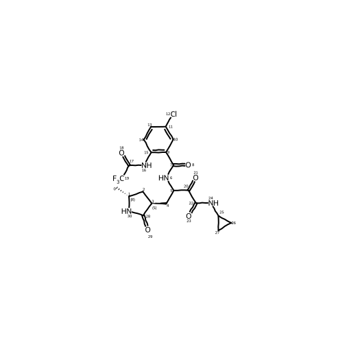 C[C@@H]1C[C@@H](CC(NC(=O)c2cc(Cl)ccc2NC(=O)C(F)(F)F)C(=O)C(=O)NC2CC2)C(=O)N1